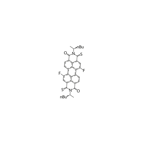 CCCC[C@H](C)N1C(=O)c2ccc3c4c(F)cc5c6c(ccc(c7c(F)cc(c2c37)C1=S)c64)C(=O)N([C@@H](C)CCCC)C5=S